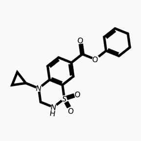 O=C(OC1=CCCC=C1)c1ccc2c(c1)S(=O)(=O)NCN2C1CC1